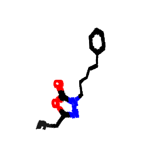 CC(C)Cc1nn(CCCC=Cc2ccccc2)c(=O)o1